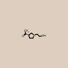 CC(=O)[C@@H]1CCN(CCO)C1